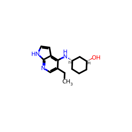 CCc1cnc2[nH]ccc2c1N[C@H]1CCC[C@@H](O)C1